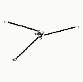 C#CC#CC#CC#CC#CC#CC#CC#CC#CC#CC#COC(=O)CC(CC(=O)OC#CC#CC#CC#CC#CC#CC#CC#CC#CC#CC#C)(OC=O)C(=O)OC#CC#CC#CC#CC#CC#CC#CC#CC#CC#CC#C